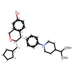 COC(OC)C1CCN(c2ccc([C@H]3c4ccc(O)cc4CO[C@H]3CC3CCCC3)cc2)CC1